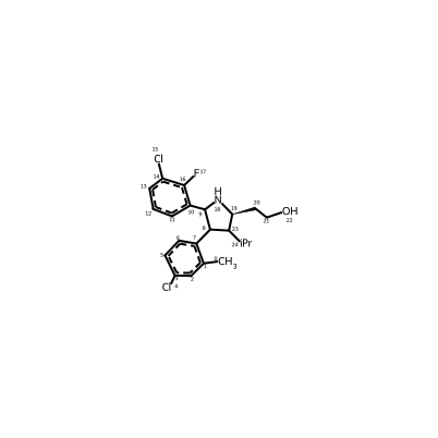 Cc1cc(Cl)ccc1C1C(c2cccc(Cl)c2F)N[C@@H](CCO)C1C(C)C